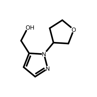 OCc1ccnn1C1CCOC1